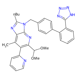 CCCCc1nc2c(C)c(-c3ccccn3)c(C(OC)OC)nc2n1Cc1ccc(-c2ccccc2-c2nnn[nH]2)cc1